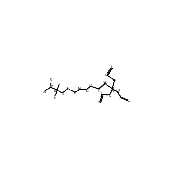 C=CCC(CC=C)(CC=C)CCCCCCCCC(C)(C)C(C)C